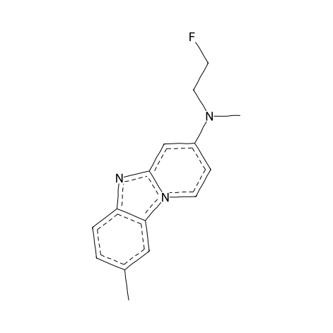 Cc1ccc2nc3cc(N(C)CCF)ccn3c2c1